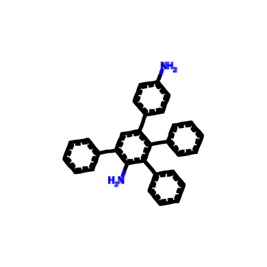 Nc1ccc(-c2cc(-c3ccccc3)c(N)c(-c3ccccc3)c2-c2ccccc2)cc1